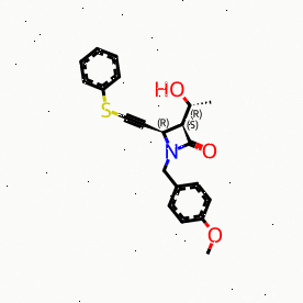 COc1ccc(CN2C(=O)[C@H]([C@@H](C)O)[C@@H]2C#CSc2ccccc2)cc1